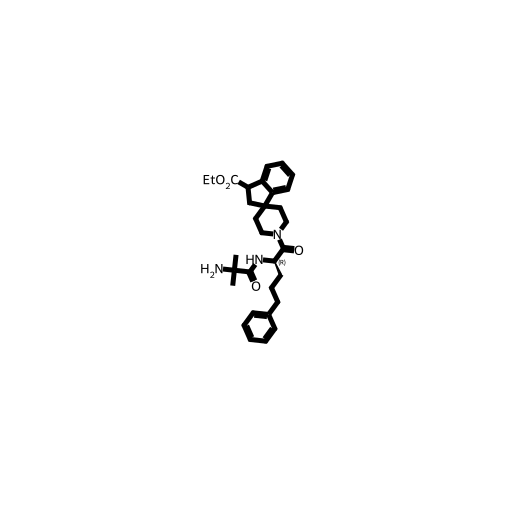 CCOC(=O)C1CC2(CCN(C(=O)[C@@H](CCCc3ccccc3)NC(=O)C(C)(C)N)CC2)c2ccccc21